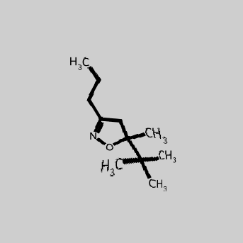 CCCC1=NOC(C)(C(C)(C)C)C1